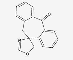 O=C1c2ccccc2CC2(COC=N2)c2ccccc21